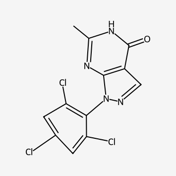 Cc1nc2c(cnn2-c2c(Cl)cc(Cl)cc2Cl)c(=O)[nH]1